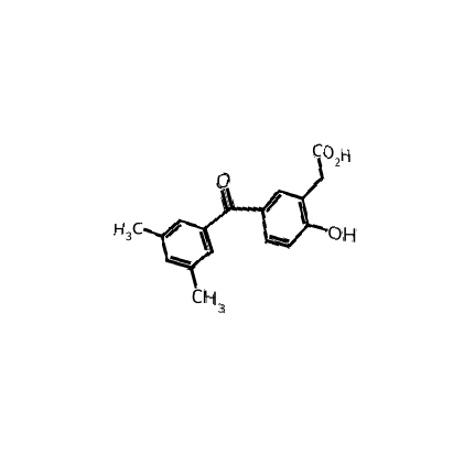 Cc1cc(C)cc(C(=O)c2ccc(O)c(CC(=O)O)c2)c1